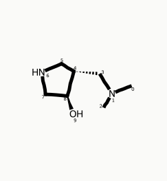 CN(C)C[C@H]1CNC[C@@H]1O